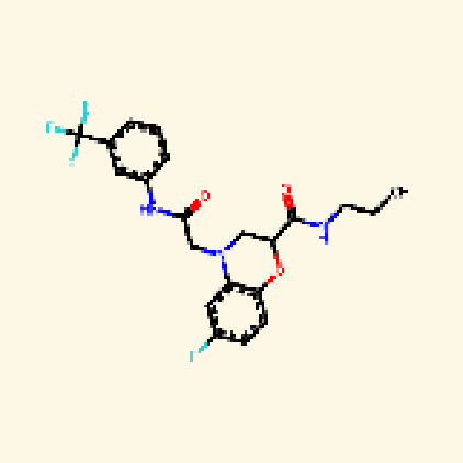 CCCNC(=O)C1CN(CC(=O)Nc2cccc(C(F)(F)F)c2)c2cc(F)ccc2O1